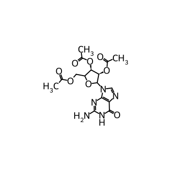 CC(=O)OCC1OC(n2cnc3c(=O)[nH]c(N)nc32)[C@H](OC(C)=O)[C@@H]1OC(C)=O